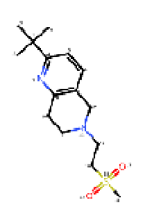 CC(C)(C)c1ccc2c(n1)CCN(CCS(C)(=O)=O)C2